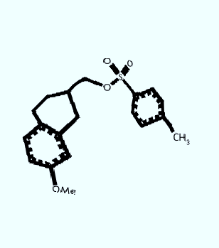 COc1ccc2c(c1)CC(COS(=O)(=O)c1ccc(C)cc1)CC2